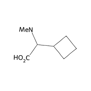 CNC(C(=O)O)C1CCC1